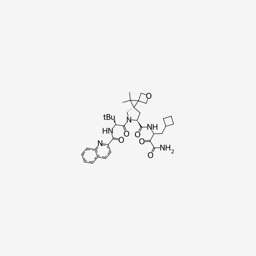 CC(C)(C)[C@H](NC(=O)c1ccc2ccccc2n1)C(=O)N1C[C@]2(C[C@H]1C(=O)NC(CC1CCC1)C(=O)C(N)=O)C(C)(C)C21COC1